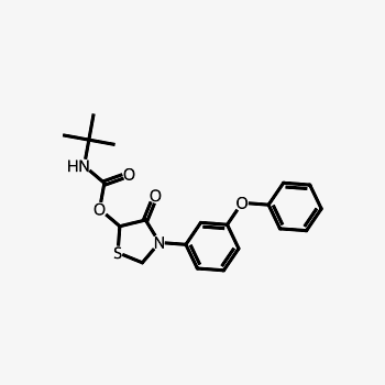 CC(C)(C)NC(=O)OC1SCN(c2cccc(Oc3ccccc3)c2)C1=O